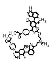 C=CC(=O)N1CCN(c2nc(OCCN(C)CCc3n[nH]c4c(-c5c(Cl)cc6c(N7CCN(C(=O)C=C)CC7)ncnc6c5F)cccc34)nc3c(F)c(-c4c(C)ccc5[nH]ncc45)c(Cl)cc23)CC1